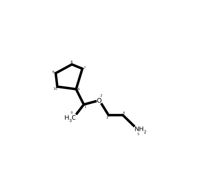 CC(OCCN)C1CCCC1